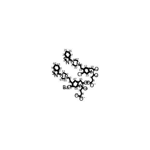 O=C([O-])CCC(=O)N1C(=O)Cc2cc(CCN3CCN(c4nsc5ccccc45)CC3)c(Cl)cc21.O=C([O-])CCC(=O)N1C(=O)Cc2cc(CCN3CCN(c4nsc5ccccc45)CC3)c(Cl)cc21.[Ba+2]